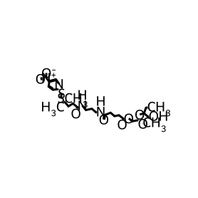 CCC(CO)OC(COC(=O)CCCC(=O)NCCCNC(=O)CCC(C)(C)SSc1ccc([N+](=O)[O-])cn1)OC